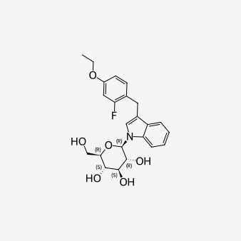 CCOc1ccc(Cc2cn([C@@H]3O[C@H](CO)[C@@H](O)[C@H](O)[C@H]3O)c3ccccc23)c(F)c1